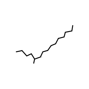 CCCCCCCCC[CH]C(C)CCCC